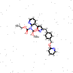 CC(C)(C)COC(=O)N(C(=O)OC(C)(C)C)c1ncccc1-c1cc(Cc2ccc(COc3ccccn3)cc2)no1